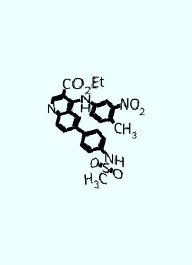 CCOC(=O)c1cnc2ccc(-c3ccc(NS(C)(=O)=O)cc3)cc2c1Nc1ccc(C)c([N+](=O)[O-])c1